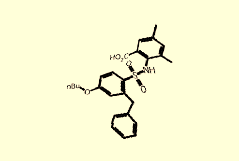 CCCCOc1ccc(S(=O)(=O)Nc2c(C)cc(C)cc2C(=O)O)c(Cc2ccccc2)c1